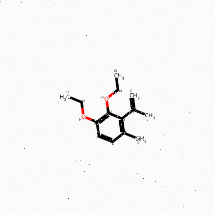 C=C(C)c1c([SiH3])ccc(OCC)c1OCC